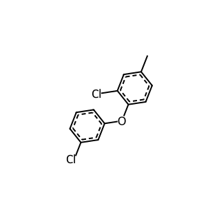 Cc1ccc(Oc2cccc(Cl)c2)c(Cl)c1